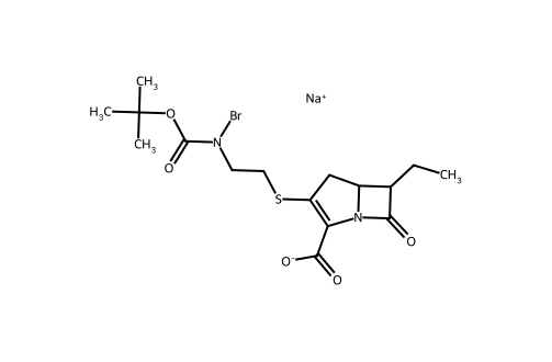 CCC1C(=O)N2C(C(=O)[O-])=C(SCCN(Br)C(=O)OC(C)(C)C)CC12.[Na+]